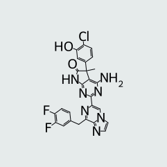 CC1(c2ccc(Cl)c(O)c2)C(=O)Nc2nc(-c3cn4ccnc4c(Cc4ccc(F)c(F)c4)n3)nc(N)c21